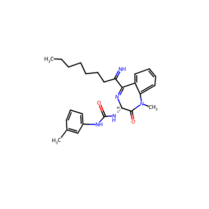 CCCCCCCC(=N)C1=N[C@@H](NC(=O)Nc2cccc(C)c2)C(=O)N(C)c2ccccc21